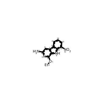 CCOc1nc(N)cc2c1[nH]c1c([N+](=O)[O-])cccc12